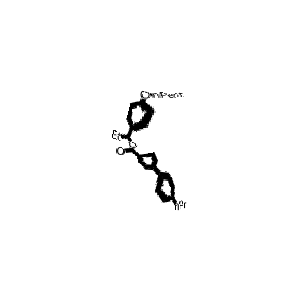 CCCCCOc1ccc(C(CC)OC(=O)c2ccc(-c3ccc(CCC)cc3)cc2)cc1